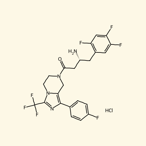 Cl.N[C@@H](CC(=O)N1CCn2c(C(F)(F)F)nc(-c3ccc(F)cc3)c2C1)Cc1cc(F)c(F)cc1F